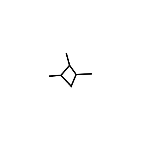 CC1[CH]C(C)C1C